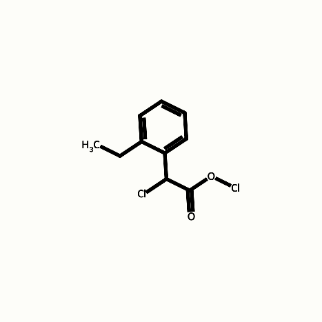 CCc1ccccc1C(Cl)C(=O)OCl